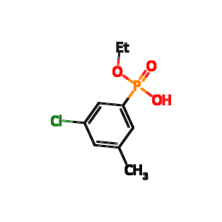 CCOP(=O)(O)c1cc(C)cc(Cl)c1